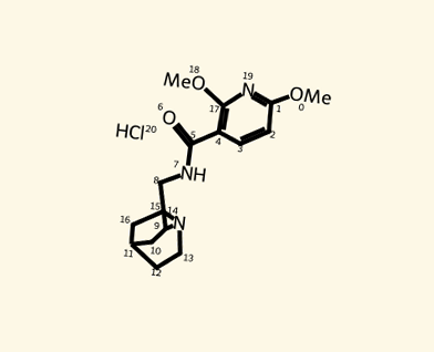 COc1ccc(C(=O)NCC2CC3CCN2CC3)c(OC)n1.Cl